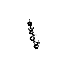 Cn1c(-c2ccc(F)cc2)nc2ncc(C(=O)N3CCCC(COc4cccnc4C(F)(F)F)C3)nc21